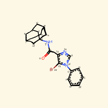 O=C(NC12CC3CC(CC(C3)C1)C2)c1ncn(-c2ccccc2)c1Br